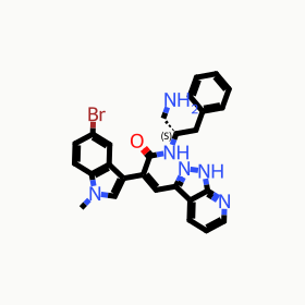 Cn1cc(C(=Cc2n[nH]c3ncccc23)C(=O)N[C@H](CN)Cc2ccccc2)c2cc(Br)ccc21